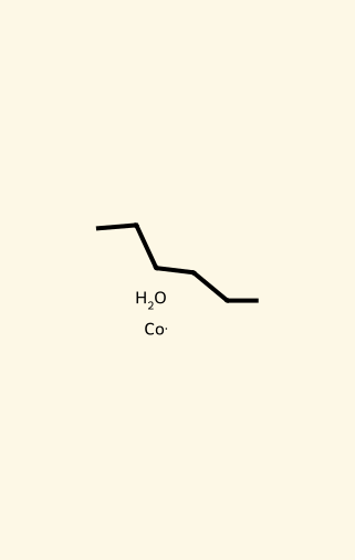 CCCCCC.O.[Co]